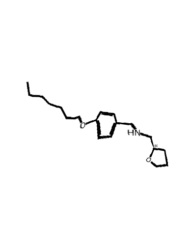 CCCCCCCOc1ccc(CNC[C@H]2CCCO2)cc1